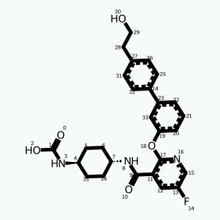 O=C(O)N[C@H]1CC[C@H](NC(=O)c2cc(F)cnc2Oc2cccc(-c3ccc(CCO)cc3)c2)CC1